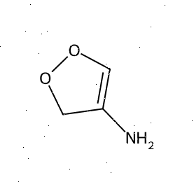 NC1=COOC1